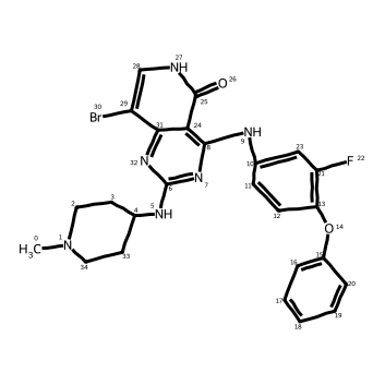 CN1CCC(Nc2nc(Nc3ccc(Oc4ccccc4)c(F)c3)c3c(=O)[nH]cc(Br)c3n2)CC1